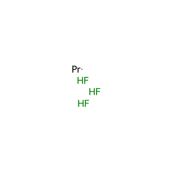 F.F.F.[Pr]